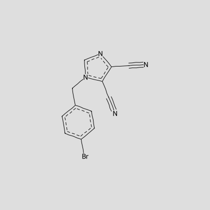 N#Cc1ncn(Cc2ccc(Br)cc2)c1C#N